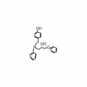 Oc1ccc(CCN(Cc2ccccc2)C[C@H](O)COc2ccccc2)cc1